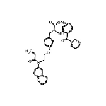 C=CC(=O)N(CCOc1ccc(C[C@H](Nc2ccccc2C(=O)c2ccccc2)C(=O)OC)cc1)c1ccc2ccccc2c1